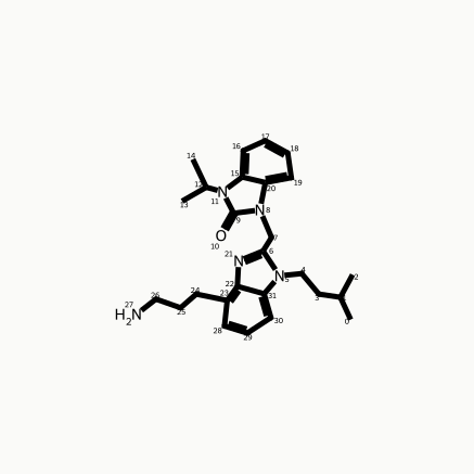 CC(C)CCn1c(Cn2c(=O)n(C(C)C)c3ccccc32)nc2c(CCCN)cccc21